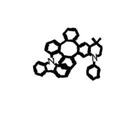 CC1(C)CCN(c2ccccc2)c2cc3c(cc21)-c1ccccc1-c1cccc(-n2c4ccccc4c4ccccc42)c1-c1ccccc1-3